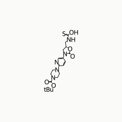 CC(C)(C)OC(=O)N1CCN(c2ccc(N3CC(CNC(O)=S)OC3=O)cn2)CC1